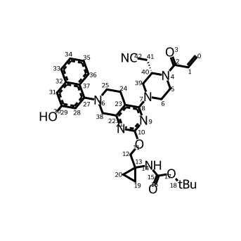 C=CC(=O)N1CCN(c2nc(OCC3(NC(=O)OC(C)(C)C)CC3)nc3c2CCN(c2cc(O)cc4ccccc24)C3)C[C@@H]1CC#N